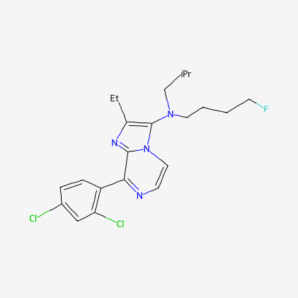 CCc1nc2c(-c3ccc(Cl)cc3Cl)nccn2c1N(CCCCF)CC(C)C